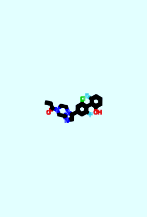 C=CC(=O)N1CCn2c(-c3cc(F)c(-c4c(O)cccc4F)c(Cl)c3)cnc2C1